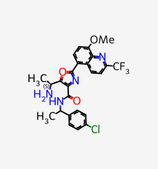 COc1ccc(-c2nc(C(=O)NC(C)c3ccc(Cl)cc3)c([C@H](C)N)o2)c2ccc(C(F)(F)F)nc12